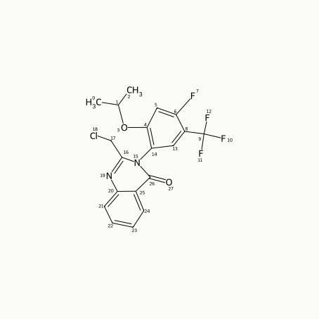 CC(C)Oc1cc(F)c(C(F)(F)F)cc1-n1c(CCl)nc2ccccc2c1=O